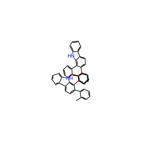 Cc1ccccc1-c1ccc2c([nH]c3ccccc32)c1-c1ccccc1-c1ccccc1-c1c(-c2ccccc2C)ccc2c1[nH]c1ccccc12